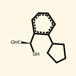 O=[C][C@H](O)c1ccccc1C1CCCC1